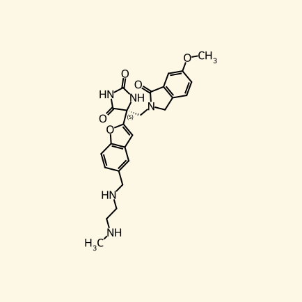 CNCCNCc1ccc2oc([C@]3(CN4Cc5ccc(OC)cc5C4=O)NC(=O)NC3=O)cc2c1